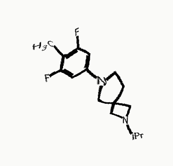 Cc1c(F)cc(N2CCC3(C2)CN(C(C)C)C3)cc1F